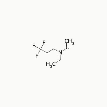 C[CH]N(CC)CCC(F)(F)F